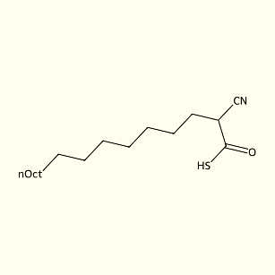 CCCCCCCCCCCCCCCC(C#N)C(=O)S